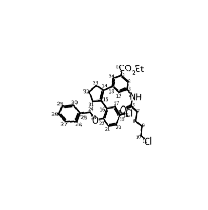 CCOC(=O)c1cc(NC(=O)CCCCCl)cc(C2=C(c3cc(Cl)ccc3OCc3ccccc3)CCC2)c1